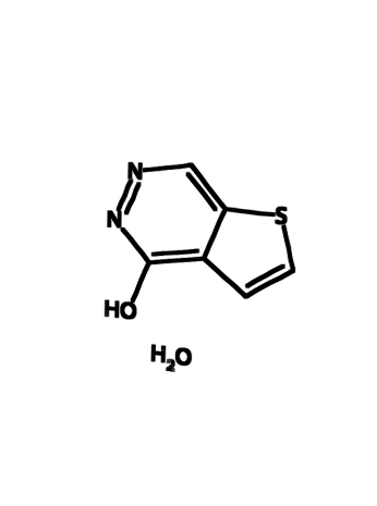 O.Oc1nncc2sccc12